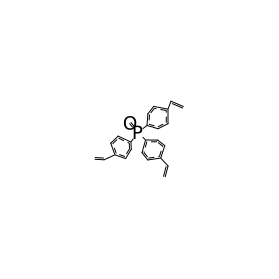 C=Cc1ccc(P(=O)(c2ccc(C=C)cc2)c2ccc(C=C)cc2)cc1